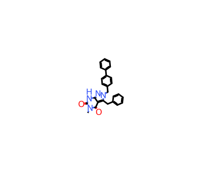 Cn1c(=O)[nH]c2nn(Cc3ccc(-c4ccccc4)cc3)c(Cc3ccccc3)c2c1=O